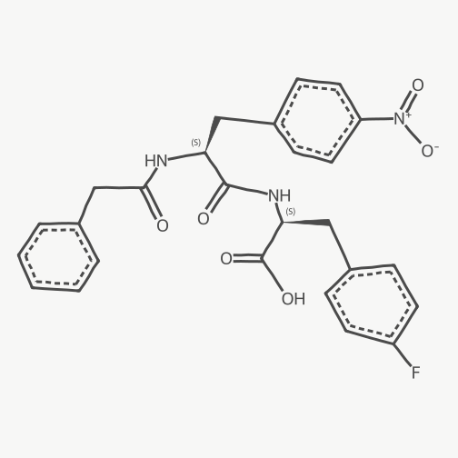 O=C(Cc1ccccc1)N[C@@H](Cc1ccc([N+](=O)[O-])cc1)C(=O)N[C@@H](Cc1ccc(F)cc1)C(=O)O